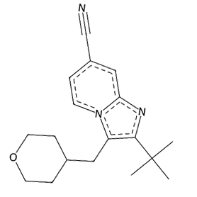 CC(C)(C)c1nc2cc(C#N)ccn2c1CC1CCOCC1